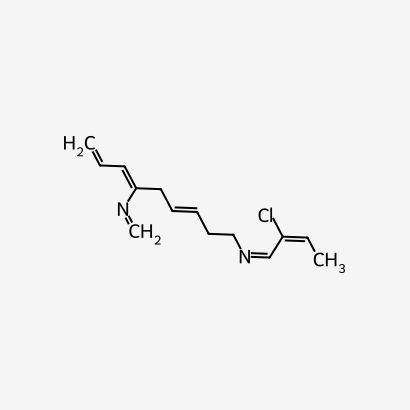 C=C/C=C(/C/C=C/CC/N=C\C(Cl)=C/C)N=C